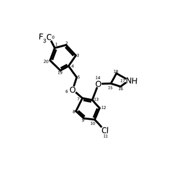 FC(F)(F)c1ccc(COc2ccc(Cl)cc2OC2CNC2)cc1